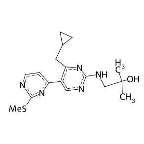 CSc1nccc(-c2cnc(NCC(C)(C)O)nc2CC2CC2)n1